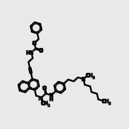 CCCCCCN(C)CCCc1ccc(NC(=O)[C@@H](C)Cc2ccc(C#CCCNC(=O)OCc3ccccc3)c3ccccc23)cc1